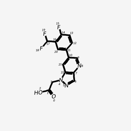 O=C(O)Cn1ncc2ncc(-c3ccc(F)c(C(F)F)c3)cc21